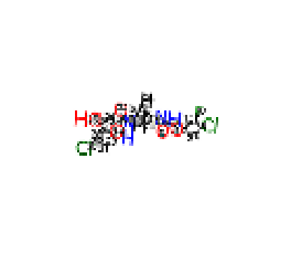 O=C(COc1ccc(Cl)c(F)c1)N[C@]12C[C@@H]3C1[C@H]2C[C@H]3NC(=O)[C@H]1C[C@@H](O)c2cc(Cl)ccc2O1